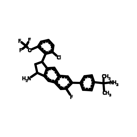 CC(C)(N)c1ccc(-c2cc3cc4c(cc3cc2F)C(N)CC4c2c(Cl)cccc2OC(F)(F)F)cc1